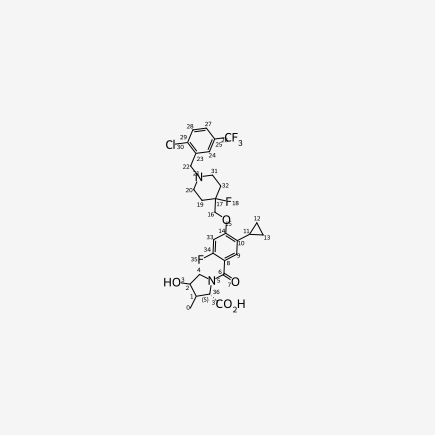 CC1C(O)CN(C(=O)c2cc(C3CC3)c(OCC3(F)CCN(Cc4cc(C(F)(F)F)ccc4Cl)CC3)cc2F)[C@@H]1C(=O)O